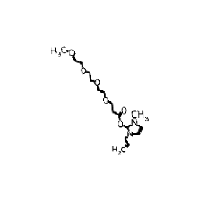 C=CCN1C=CN(C)C1OC(=O)CCOCCOCCOCCOC